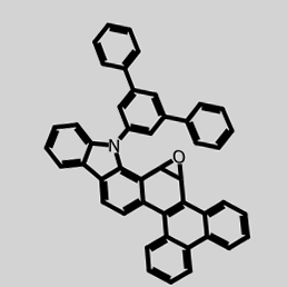 c1ccc(-c2cc(-c3ccccc3)cc(-n3c4ccccc4c4ccc5c(c43)C3OC3c3c-5c4ccccc4c4ccccc34)c2)cc1